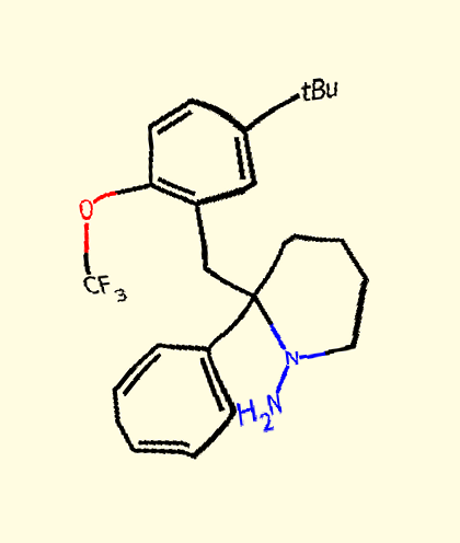 CC(C)(C)c1ccc(OC(F)(F)F)c(CC2(c3ccccc3)CCCCN2N)c1